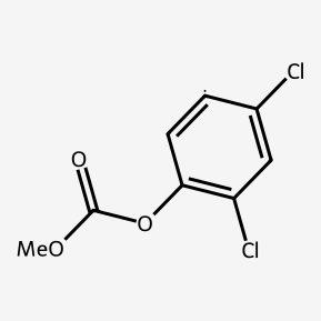 COC(=O)Oc1c[c]c(Cl)cc1Cl